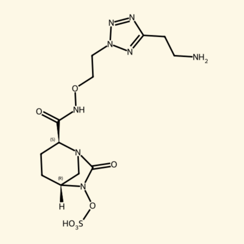 NCCc1nnn(CCONC(=O)[C@@H]2CC[C@@H]3CN2C(=O)N3OS(=O)(=O)O)n1